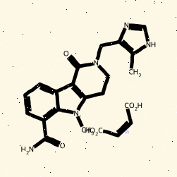 Cc1[nH]cnc1CN1CCc2c(c3cccc(C(N)=O)c3n2C)C1=O.O=C(O)/C=C\C(=O)O